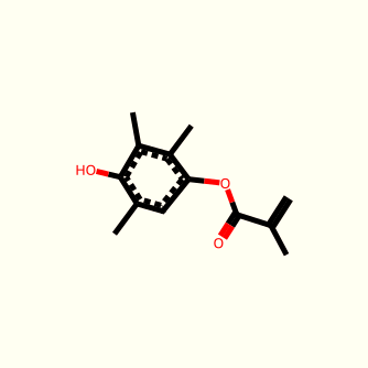 C=C(C)C(=O)Oc1cc(C)c(O)c(C)c1C